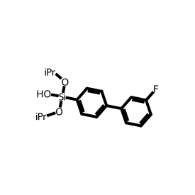 CC(C)O[Si](O)(OC(C)C)c1ccc(-c2cccc(F)c2)cc1